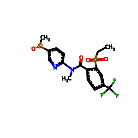 CCS(=O)(=O)c1cc(C(F)(F)F)ccc1C(=O)N(C)c1ccc([S+](C)[O-])cn1